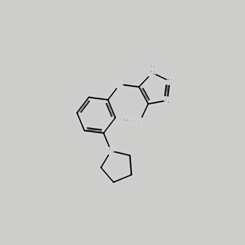 O=C(O)c1nn[nH]c1Oc1cccc(N2CCCC2)c1